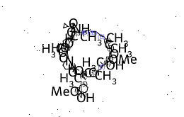 CO[C@@H]1C[C@H](C[C@@H](C)[C@@H]2CC[C@H](C)/C=C(\C)[C@@H](O)[C@@H](OC)C(=O)[C@H](C)C[C@H](C)/C=C/C=C/C=C(\C)[C@@H](NS(=O)(=O)C3CC3)C[C@@H]3CC[C@@H](C)[C@@](O)(O3)C(=O)C(=O)N3CCCC[C@H]3C(=O)O2)CC[C@H]1O